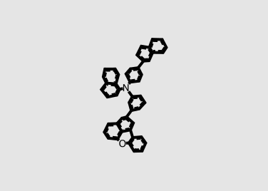 c1cc(-c2cc3c4c(cccc4c2)Oc2ccccc2-3)cc(N(c2ccc(-c3ccc4ccccc4c3)cc2)c2cccc3ccccc23)c1